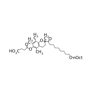 CCCCCCCCOCCCCCCCCC(=O)[C@]1(C)CCc2c(C)c(OC(=O)CCC(=O)O)c(C)c(C)c2O1